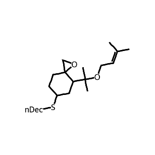 CCCCCCCCCCSC1CCC2(CO2)C(C(C)(C)OCC=C(C)C)C1